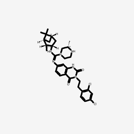 C[C@H]1[C@@H](NC(=Nc2ccc3c(=O)n(CCc4ccc(Cl)cc4Cl)c(=O)[nH]c3c2)N2CCN[C@@H](C)C2)C[C@@H]2C[C@@H]1C2(C)C